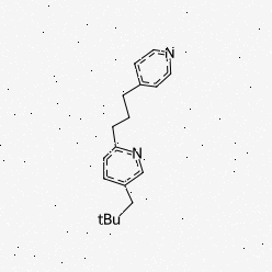 CC(C)(C)Cc1ccc(CCCc2ccncc2)nc1